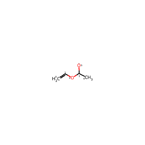 C=COC(C)[O]